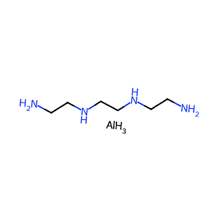 NCCNCCNCCN.[AlH3]